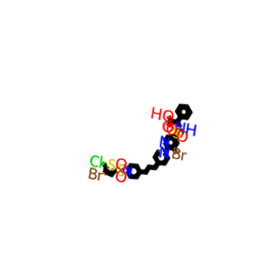 O=C(O)C(NS(=O)(=O)c1cnc(N2CCC(CCCC3CCN(S(=O)(=O)c4cc(Br)c(Cl)s4)CC3)CC2)c(Br)c1)c1ccccc1